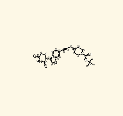 CC(C)(C)OC(=O)N1CCN(CC#Cc2ccn3c(N4CCC(=O)NC4=O)cnc3c2)CC1